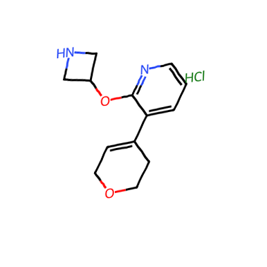 C1=C(c2cccnc2OC2CNC2)CCOC1.Cl